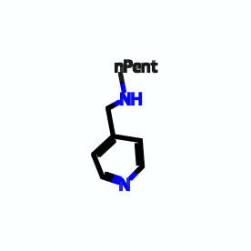 [CH2]CCCCNCc1ccncc1